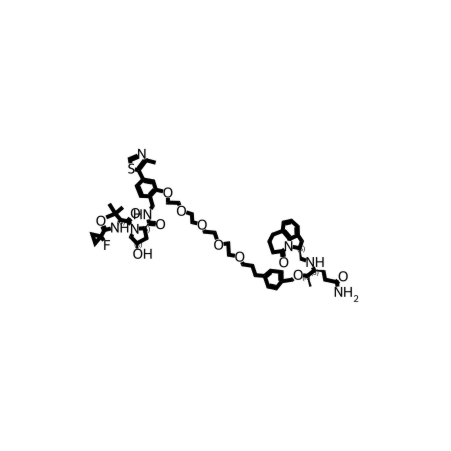 Cc1ncsc1-c1ccc(CNC(=O)[C@@H]2C[C@@H](O)CN2C(=O)[C@@H](NC(=O)C2(F)CC2)C(C)(C)C)c(OCCOCCOCCOCCOCCCc2ccc(CO[C@H](C)[C@H](CCC(N)=O)NC[C@@H]3Cc4cccc5c4N3C(=O)CCC5)cc2)c1